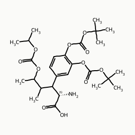 CC(C)OC(=O)OC(C)C(C)C(c1ccc(OC(=O)OC(C)(C)C)c(OC(=O)OC(C)(C)C)c1)[C@H](N)C(=O)O